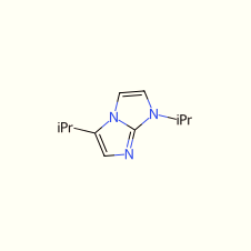 CC(C)c1cnc2n(C(C)C)ccn12